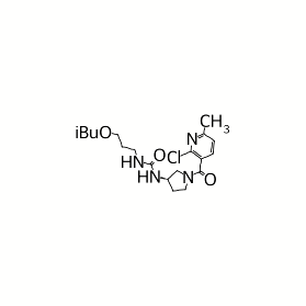 Cc1ccc(C(=O)N2CC[C@@H](NC(=O)NCCCOCC(C)C)C2)c(Cl)n1